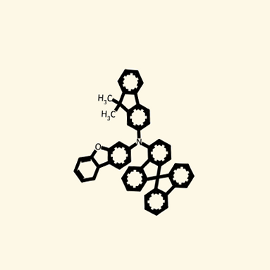 CC1(C)c2ccccc2-c2ccc(N(c3ccc4c(c3)OC3=CC=CCC34)c3cccc4c3-c3ccccc3C43c4ccccc4-c4ccccc43)cc21